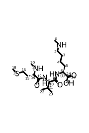 CNCCCC[C@H](NC(=O)[C@@H](NC(=O)[C@H](CCSC)NC)C(C)C)C(=O)O